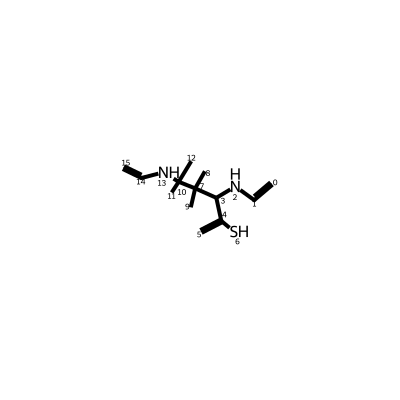 C=CNC(C(=C)S)C(C)(C)C(C)(C)NC=C